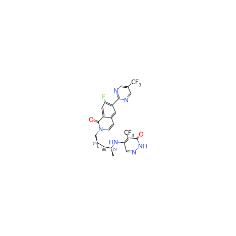 C[C@H](Nc1cn[nH]c(=O)c1C(F)(F)F)[C@@H]1C[C@H]1Cn1ccc2cc(-c3ncc(C(F)(F)F)cn3)c(F)cc2c1=O